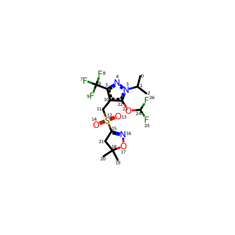 CC(C)n1nc(C(F)(F)F)c(CS(=O)(=O)C2=NOC(C)(C)C2)c1OC(F)F